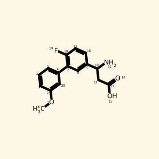 COc1cccc(-c2cc(C(N)CC(=O)O)ccc2F)c1